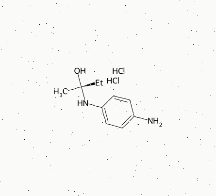 CC[C@@](C)(O)Nc1ccc(N)cc1.Cl.Cl